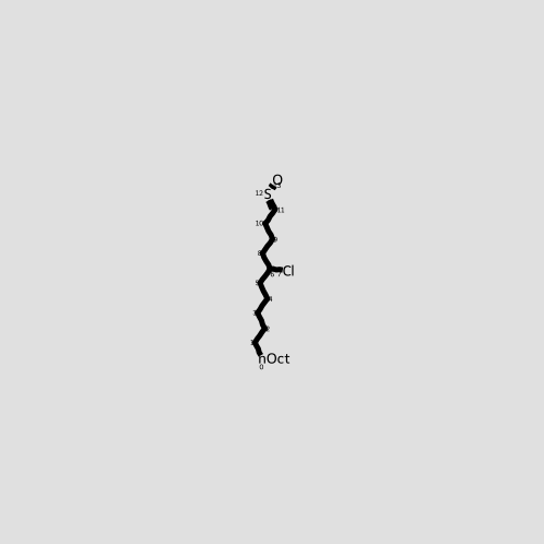 CCCCCCCCCCCCCC(Cl)CCCC=S=O